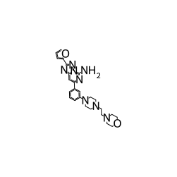 Nc1nc(-c2cccc(N3CCN(CCN4CCOCC4)CC3)c2)cc2nc(-c3ccco3)nn12